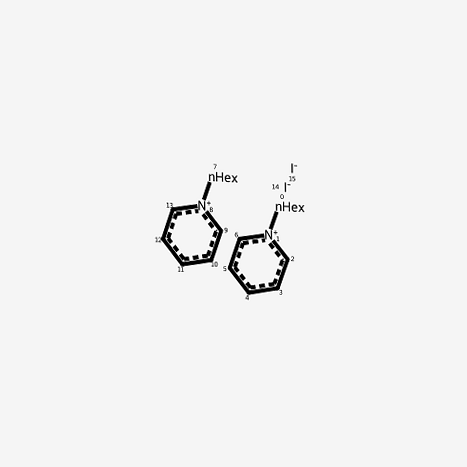 CCCCCC[n+]1ccccc1.CCCCCC[n+]1ccccc1.[I-].[I-]